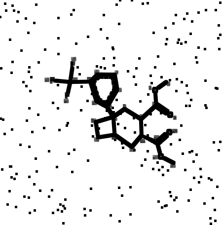 COC(=O)C1CC2(c3cccc(C(F)(F)F)c3)CCC2C[C@@H]1C(=O)OC